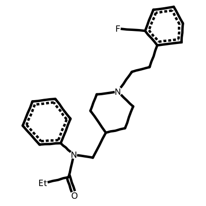 CCC(=O)N(CC1CCN(CCc2ccccc2F)CC1)c1ccccc1